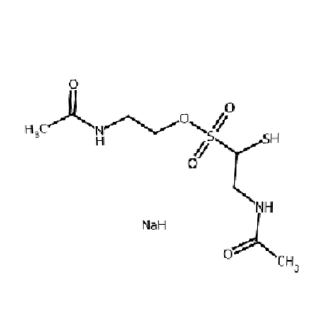 CC(=O)NCCOS(=O)(=O)C(S)CNC(C)=O.[NaH]